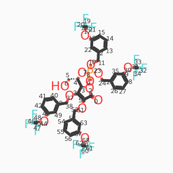 O=C1O[C@H]([C@H](CO)OP(=O)(OCc2cccc(OC(F)(F)F)c2)OCc2cccc(OC(F)(F)F)c2)C(OCc2cccc(OC(F)(F)F)c2)=C1OCc1cccc(OC(F)(F)F)c1